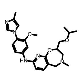 COc1cc(Nc2ccc3c(n2)OC(COC(C)C)CN(C)C3)ccc1-n1cnc(C)c1